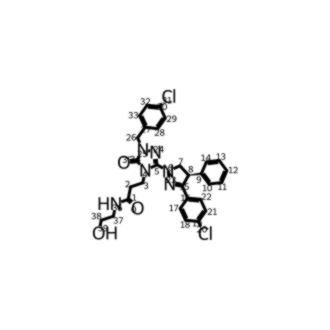 O=C(CCn1c(N2C[C@@H](c3ccccc3)C(c3ccc(Cl)cc3)=N2)nn(Cc2ccc(Cl)cc2)c1=O)NCCO